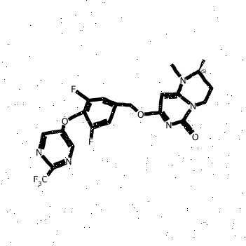 C[C@H]1CCn2c(cc(OCc3cc(F)c(Oc4cnc(C(F)(F)F)nc4)c(F)c3)nc2=O)N1C